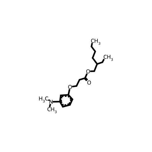 CCCCC(CC)COC(=O)CCOc1cccc(N(C)C)c1